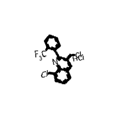 Cl.FC(F)(F)c1ccccc1-c1nc2c(Cl)cccc2cc1CCl